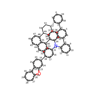 c1ccc(-c2ccc(-c3ccccc3N(c3ccc(-c4ccc5c(c4)oc4ccccc45)cc3)c3ccccc3-c3cccc4cccc(C5CCCCC5)c34)cc2)cc1